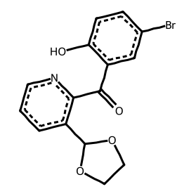 O=C(c1cc(Br)ccc1O)c1ncccc1C1OCCO1